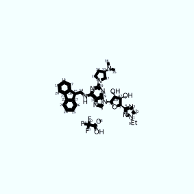 CCn1nnc([C@H]2O[C@@H](n3cnc4c(NCC5c6ccccc6-c6ccccc65)nc(N5CC[C@@H](N(C)C)C5)nc43)[C@H](O)[C@@H]2O)n1.O=C(O)C(F)(F)F